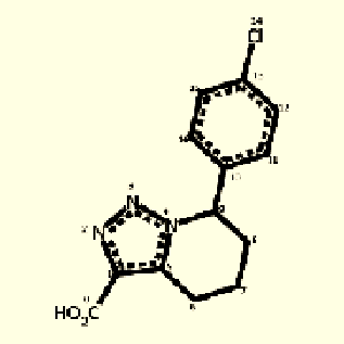 O=C(O)c1nnn2c1CCCC2c1ccc(Cl)cc1